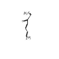 C=CC(=O)C=CC=CC